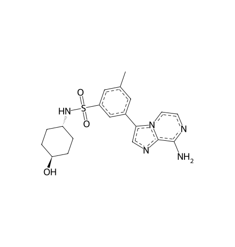 Cc1cc(-c2cnc3c(N)nccn23)cc(S(=O)(=O)N[C@H]2CC[C@H](O)CC2)c1